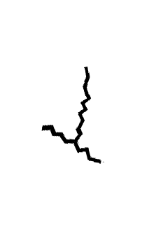 [CH2]CCCC(C=CCCCCCCCC)CCCC=C